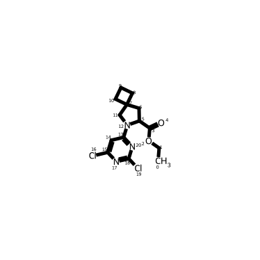 CCOC(=O)C1CC2(CCC2)CN1c1cc(Cl)nc(Cl)n1